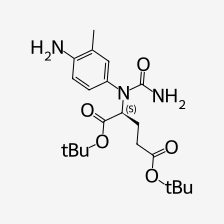 Cc1cc(N(C(N)=O)[C@@H](CCC(=O)OC(C)(C)C)C(=O)OC(C)(C)C)ccc1N